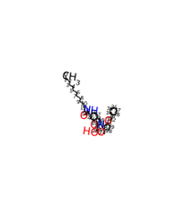 CCCCCCCCCCCCNC(=O)c1ccc(CN(C(=O)C(=O)O)C2CCCC2OCc2ccccc2)cc1